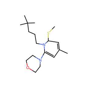 CSC1C=C(C)C=C(N2CCOCC2)N1CCCC(C)(C)C